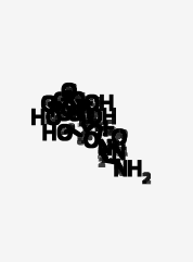 Nc1ccn([C@@H]2O[C@](CCO)(COP(=O)(O)OP(=O)(O)OP(=O)(O)O)[C@@H](O)[C@H]2F)c(=O)n1